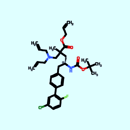 C=CCOC(=O)C(C)(C[C@@H](Cc1ccc(-c2cc(Cl)ccc2F)cc1)NC(=O)OC(C)(C)C)CN(CC=C)CC=C